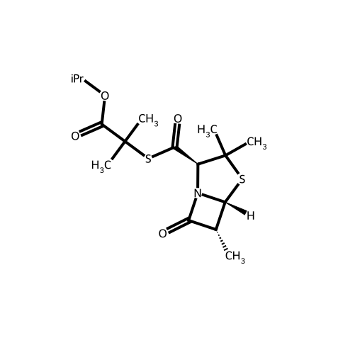 CC(C)OC(=O)C(C)(C)SC(=O)[C@@H]1N2C(=O)[C@@H](C)[C@H]2SC1(C)C